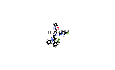 CC(C(=O)NC1CCC1)[C@H](CCN1CC2C(C1)C2(F)F)NC(=O)c1cc(-c2ccccc2C(F)(F)F)n(C2CCCC2)n1